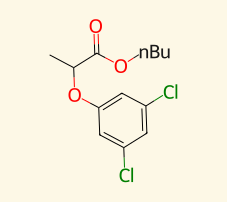 CCCCOC(=O)C(C)Oc1cc(Cl)cc(Cl)c1